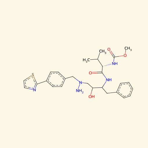 COC(=O)N[C@H](C(=O)NC(Cc1ccccc1)C(O)CN(N)Cc1ccc(-c2nccs2)cc1)C(C)C